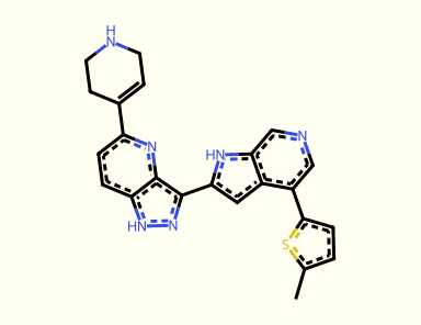 Cc1ccc(-c2cncc3[nH]c(-c4n[nH]c5ccc(C6=CCNCC6)nc45)cc23)s1